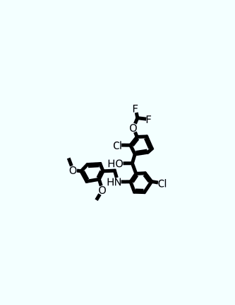 COc1ccc(CNc2ccc(Cl)cc2C(O)c2cccc(OC(F)F)c2Cl)c(OC)c1